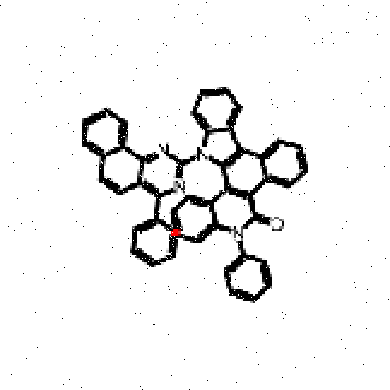 O=c1c2c3ccccc3c3c4ccccc4n(-c4nc(-c5ccccc5)c5ccc6ccccc6c5n4)c3c2c2ccccc2n1-c1ccccc1